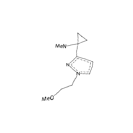 CNC1(c2ccn(CCOC)n2)CC1